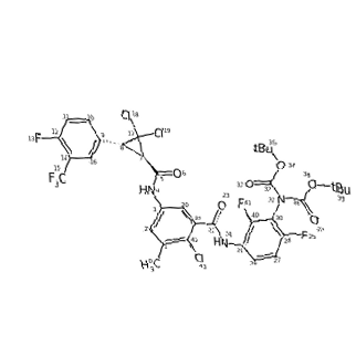 Cc1cc(NC(=O)[C@H]2[C@H](c3ccc(F)c(C(F)(F)F)c3)C2(Cl)Cl)cc(C(=O)Nc2ccc(F)c(N(C(=O)OC(C)(C)C)C(=O)OC(C)(C)C)c2F)c1Cl